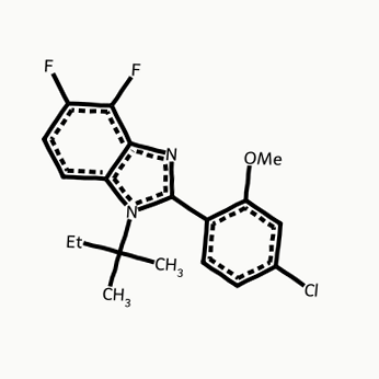 CCC(C)(C)n1c(-c2ccc(Cl)cc2OC)nc2c(F)c(F)ccc21